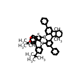 CC(C)(C)c1ccc(N2c3cc(-c4ccccc4)cc4c3B(c3cc(-c5ccccc5)cc5c3C4C3(C)CCCCC53C)c3sc4ccc(C(C)(C)C)cc4c32)c(-c2ccccc2)c1